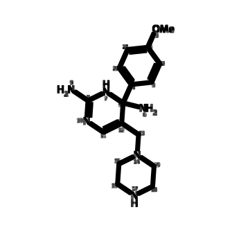 COc1ccc(C2(N)NC(N)=NC=C2CN2CCNCC2)cc1